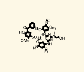 CCOC1=CC(=[N+]=[N-])C(OCC)C=C1Nc1nc(NCCO)nc(NC2=CC(OCC)C(=[N+]=[N-])C=C2OCC)n1.COc1cc(O)c(C(=O)c2ccccc2)cc1S(=O)(=O)O